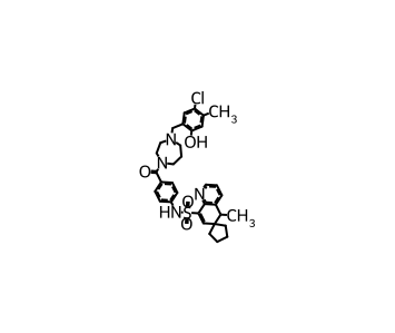 Cc1cc(O)c(CN2CCCN(C(=O)c3ccc(NS(=O)(=O)C4=CC5(CCCC5)C(C)c5cccnc54)cc3)CC2)cc1Cl